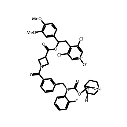 COc1ccc(C(Cc2c(Cl)c[n+]([O-])cc2Cl)OC(=O)C2CN(C(=O)c3cccc(CN(C(=O)O[C@H]4CN5CCC4CC5)c4ccccc4F)c3)C2)cc1OC